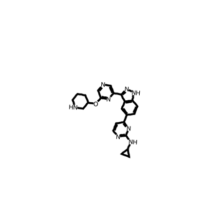 c1cc(-c2ccc3[nH]nc(-c4cncc(OC5CCCNC5)n4)c3c2)nc(NC2CC2)n1